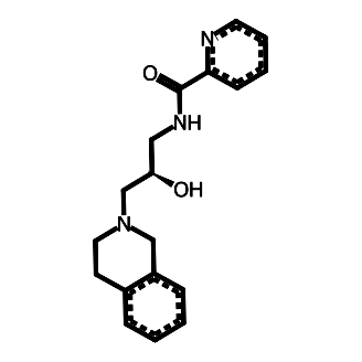 O=C(NC[C@@H](O)CN1CCc2ccccc2C1)c1ccccn1